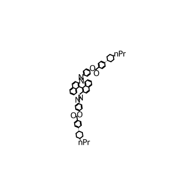 CCC[C@H]1CC[C@H](c2ccc(C(=O)Oc3ccc(N=NCc4ccc5ccccc5c4-c4c(N=Nc5ccc(OC(=O)c6ccc([C@H]7CC[C@H](CCC)CC7)cc6)cc5)ccc5ccccc45)cc3)cc2)CC1